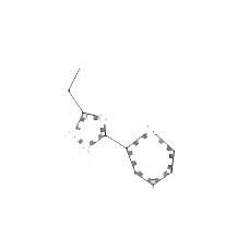 FC(F)(F)Cc1n[nH]c(-c2ccccn2)n1